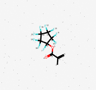 C=C(C)C(=O)OC1(F)C(F)(F)C(F)(F)C(F)(F)C1(F)F